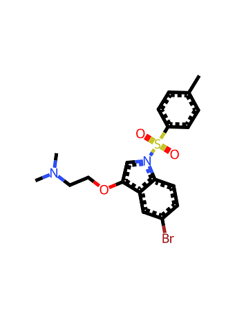 Cc1ccc(S(=O)(=O)n2cc(OCCN(C)C)c3cc(Br)ccc32)cc1